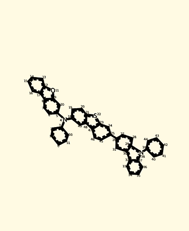 c1ccc(N(c2ccc3c(c2)oc2ccccc23)c2ccc3sc4cc(-c5ccc6c(c5)c5ccccc5n6-c5ccccc5)ccc4c3c2)cc1